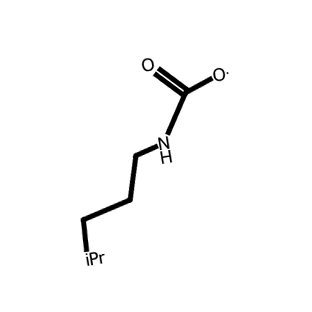 CC(C)CCCNC([O])=O